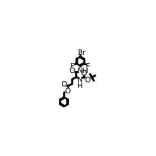 CC(C)(C)OC(=O)NC(CCC(=O)OCc1ccccc1)C(=O)Nc1c(F)cc(Br)cc1F